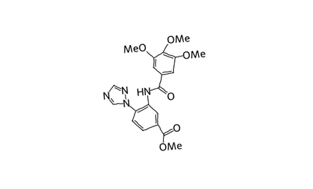 COC(=O)c1ccc(-n2cncn2)c(NC(=O)c2cc(OC)c(OC)c(OC)c2)c1